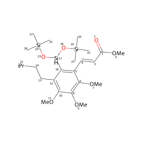 COC(=O)C=Cc1c(OC)c(OC)c(OC)c(CCC(C)C)c1[SiH](O[Si](C)(C)C)O[Si](C)(C)C